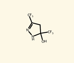 OC1(C(F)(F)F)CC(C(F)(F)F)=NN1